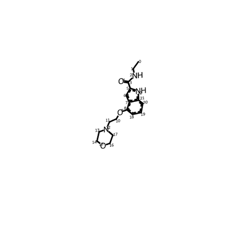 CCNC(=O)c1cc2c(OCCN3CCOCC3)cccc2[nH]1